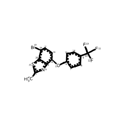 Cc1nc2c(Oc3ccc(C(F)(F)F)cc3)ccc(Br)c2s1